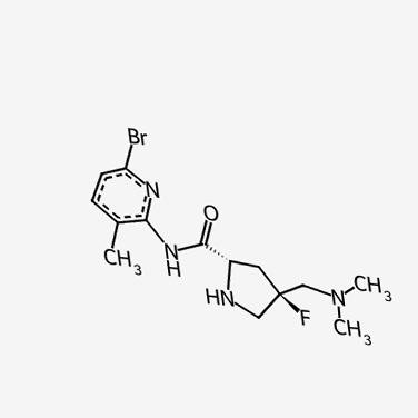 Cc1ccc(Br)nc1NC(=O)[C@@H]1C[C@](F)(CN(C)C)CN1